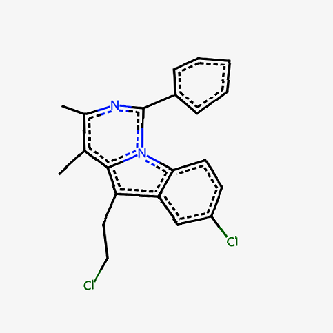 Cc1nc(-c2ccccc2)n2c(c1C)c(CCCl)c1cc(Cl)ccc12